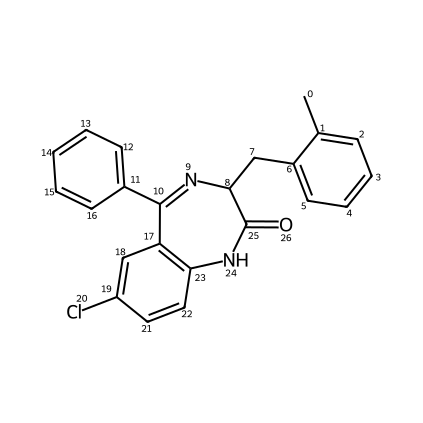 Cc1ccccc1CC1N=C(c2ccccc2)c2cc(Cl)ccc2NC1=O